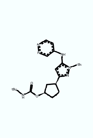 CC(C)(C)NC(=O)O[C@@H]1CC[C@H](c2cc(Nc3ccnnc3)n(C(C)(C)C)n2)C1